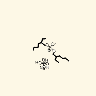 CCCCC(CC)COP(=O)([O-])OCC(CC)CCCC.O=P(O)(O)O.[Na+]